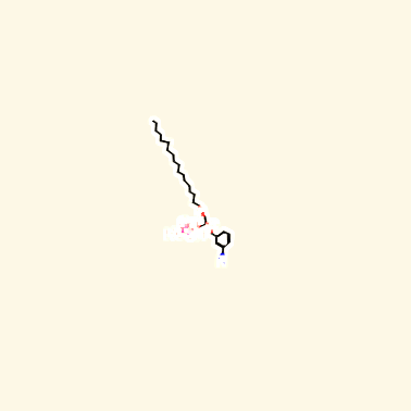 CCCCCCCCCCCCCCCCCCOCC(COP(=O)(O)O)OCc1cccc(C#N)c1